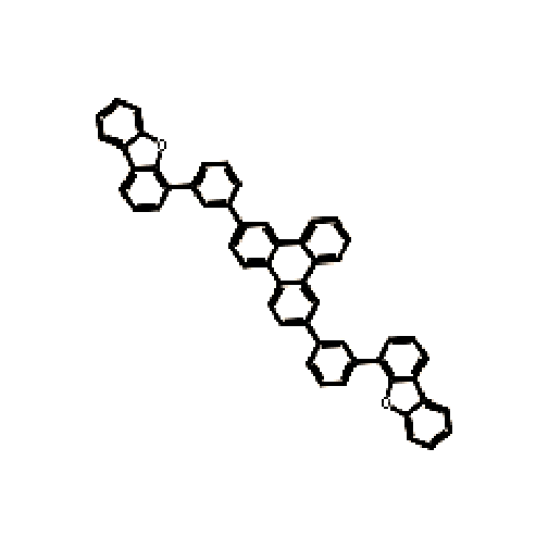 c1cc(-c2ccc3c4ccc(-c5cccc(-c6cccc7c6oc6ccccc67)c5)cc4c4ccccc4c3c2)cc(-c2cccc3c2oc2ccccc23)c1